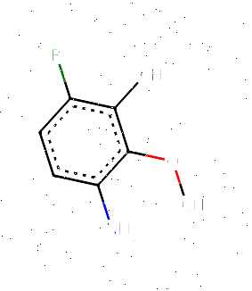 COc1c(N)ccc(Br)c1C